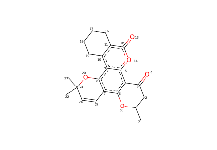 CC1CC(=O)c2c(c3c(c4c5c(c(=O)oc24)CCCC5)OC(C)(C)C=C3)O1